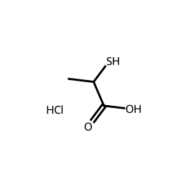 CC(S)C(=O)O.Cl